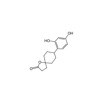 O=C1CCC2(CCC(c3ccc(O)cc3O)CC2)O1